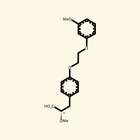 COc1cccc(OCCOc2ccc(C[C@H](OC)C(=O)O)cc2)c1